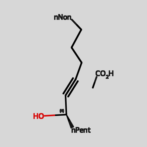 CC(=O)O.CCCCCCCCCCCCC#C[C@H](O)CCCCC